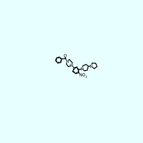 O=C(c1ccccc1)N1CCN(c2ccc([N+](=O)[O-])c(N3CCC(N4CCCC4)CC3)c2)CC1